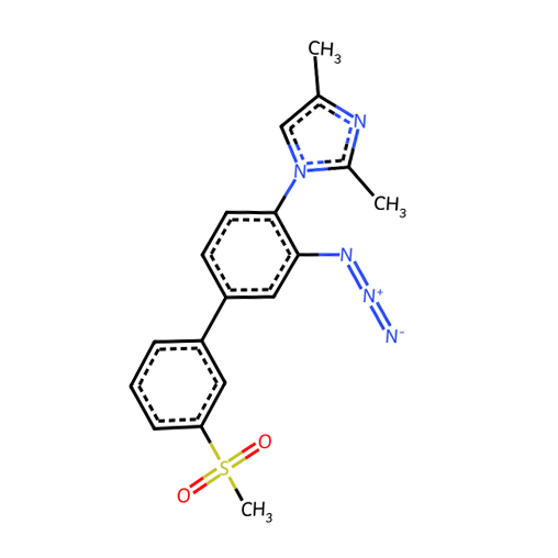 Cc1cn(-c2ccc(-c3cccc(S(C)(=O)=O)c3)cc2N=[N+]=[N-])c(C)n1